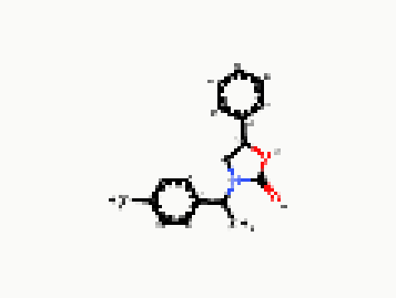 Cc1ccc(C(C)N2CC(c3ccccc3)OC2=O)cc1